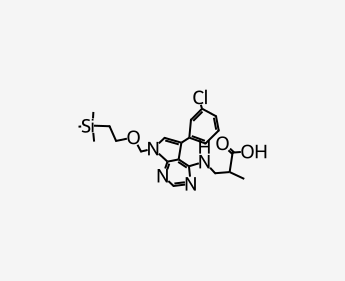 CC(CNc1ncnc2c1c(-c1cccc(Cl)c1)cn2COCC[Si](C)(C)C)C(=O)O